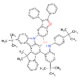 CC(C)(C)c1ccc(Nc2ccc(C(C)(C)C)cc2-c2c3c(c4c5cc(C(C)(C)C)ccc5n5c4c2Bc2cc4oc(-c6ccccc6)c(-c6ccccc6)c4cc2-5)C(C)(C)c2ccccc2-3)cc1